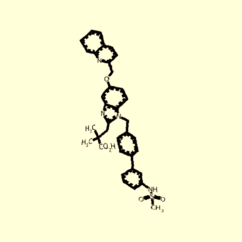 CC(C)(Cc1nc2cc(OCc3ccc4ccccc4n3)ccc2n1Cc1ccc(-c2cccc(NS(C)(=O)=O)c2)cc1)C(=O)O